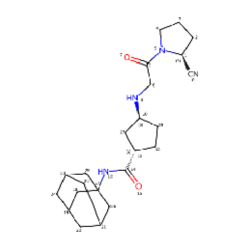 N#C[C@@H]1CCCN1C(=O)CN[C@H]1CC[C@H](C(=O)NC23CC4CC(CC(C4)C2)C3)C1